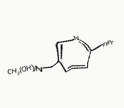 CCCc1ccc(N(C)O)cn1